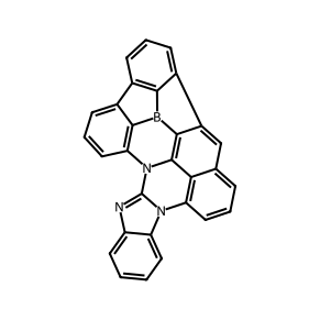 c1cc2c3c(c1)-c1cc4cccc5c4c4c1B3c1c-2cccc1-n4c1nc2ccccc2n51